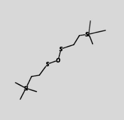 C[Si](C)(C)CCSOSCC[Si](C)(C)C